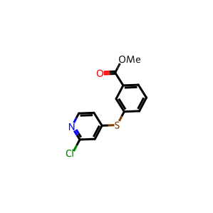 COC(=O)c1cccc(Sc2ccnc(Cl)c2)c1